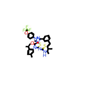 Cc1ccc(C(C)C)c(N2C(=O)CS/C2=N\C(=S)NC(C)C(C)/C=C/c2cccc(-c3ncn(-c4ccc(OC(F)(F)F)cc4)n3)c2)c1